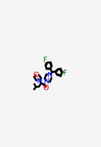 CC(C)CC(C(=O)N1CCN(C(c2ccc(F)cc2)c2ccc(F)cc2)CC1)N1CCOCC1